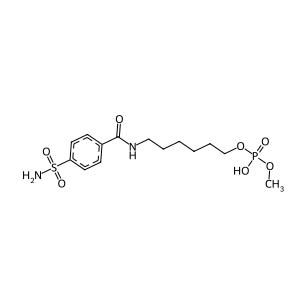 COP(=O)(O)OCCCCCCNC(=O)c1ccc(S(N)(=O)=O)cc1